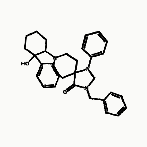 O=C1N(Cc2ccccc2)CN(c2ccccc2)C12CCN(C1CCCCC1(O)c1ccccc1)CC2